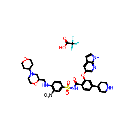 O=C(NS(=O)(=O)c1ccc(NCC2CN(C3CCOCC3)CCO2)c([N+](=O)[O-])c1)c1ccc(C2=CCNCC2)cc1Oc1cnc2[nH]ccc2c1.O=C(O)C(F)(F)F